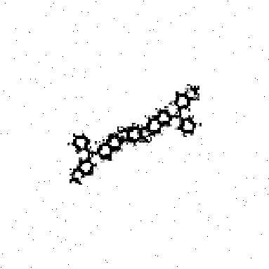 c1ccc(N(c2ccc3c(c2)OCO3)c2ccc3cc4c(cc3c2)oc2cc3c(cc24)oc2cc4cc(N(c5ccccc5)c5ccc6c(c5)OCO6)ccc4cc23)cc1